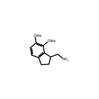 COc1ccc2c(c1OC)C(CN)CC2